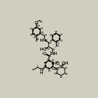 CCNc1cc(C(=O)N[C@@H](Cc2ccccc2)[C@@H](O)CNCc2cc(OC)ccc2F)cc(N2CCCCS2(O)O)c1